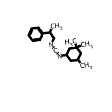 CC1CC(N=C=NCC(C)c2ccccc2)CC(C)(C)C1